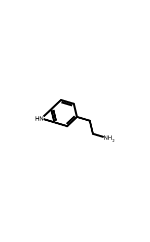 NCCc1ccc2c(c1)N2